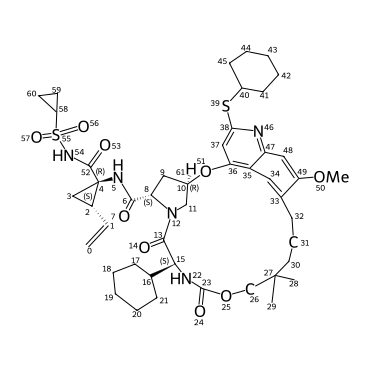 C=C[C@@H]1C[C@]1(NC(=O)[C@@H]1C[C@@H]2CN1C(=O)[C@H](C1CCCCC1)NC(=O)OCC(C)(C)CCCc1cc3c(cc(SC4CCCCC4)nc3cc1OC)O2)C(=O)NS(=O)(=O)C1CC1